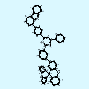 c1ccc(-c2cc(-c3ccc(-c4cccc5c4oc4ccccc45)cc3)nc(-c3cccc(-c4ccc5c(c4)C4(c6ccccc6O5)c5ccccc5-c5ccccc54)c3)n2)cc1